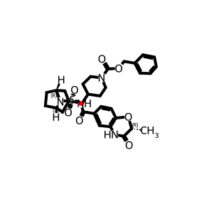 C[C@H]1Oc2ccc(C(=O)N[C@@H]3C[C@H]4CC[C@@H](C3)N4S(=O)(=O)CC3CCN(C(=O)OCc4ccccc4)CC3)cc2NC1=O